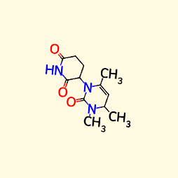 CC1=CC(C)N(C)C(=O)N1C1CCC(=O)NC1=O